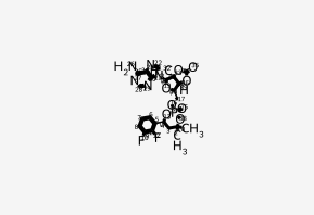 CC1(C)C[C@@H](c2cccc(F)c2F)OP(=O)(OC[C@H]2O[C@@H](n3cnc4c(N)ncnc43)[C@]3(C)OC(=O)O[C@H]23)O1